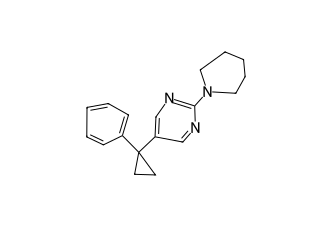 c1ccc(C2(c3cnc(N4CCCCC4)nc3)CC2)cc1